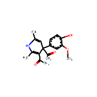 COc1cc(C2(C(C)=O)C=C(C)NC(C)=C2C(C)=O)ccc1O